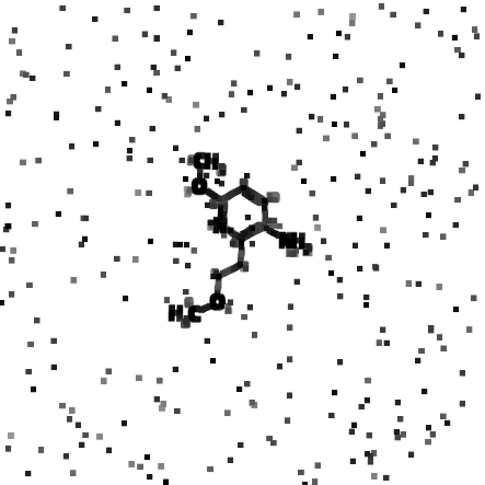 COCCc1nc(OC)ccc1N